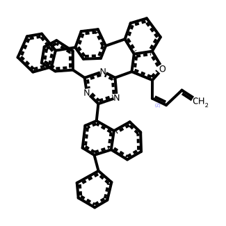 C=C/C=C\c1oc2cccc(-c3ccc(-c4ccccc4)cc3)c2c1-c1nc(-c2ccccc2)nc(-c2ccc(-c3ccccc3)c3ccccc23)n1